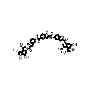 Cc1c[nH]c2c(O)cc3c(c12)[C@H](CCl)CN3C(=O)c1cc2cc(NC(=O)c3ccc4[nH]c(C(=O)Nc5ccc6[nH]c(C(=O)N7C[C@@H](CCl)c8c7cc(O)c7[nH]cc(C)c87)cc6c5)cc4c3)ccc2[nH]1